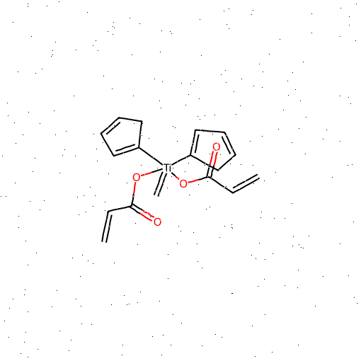 C=CC(=O)[O][Ti](=[CH2])([O]C(=O)C=C)([C]1=CC=CC1)[C]1=CC=CC1